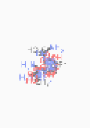 CC(C)C[C@H](NC(=O)[C@H](CO)NC(=O)[C@H](CC(C)C)NC(=O)[C@H](CO)NC(=O)[C@H](CC(C)C)NC(=O)[C@H](CO)NC(=O)[C@H](CCCCN)NC(=O)[C@H](CCC(N)=O)NC(=O)[C@@H](N)[C@@H](C)O)C(=O)NCC(=O)N[C@@H](CCCCN)C(=O)O